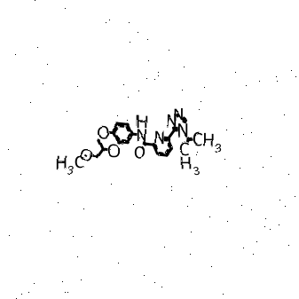 COCC1COc2ccc(NC(=O)c3cccc(-c4nncn4C(C)C)n3)cc2O1